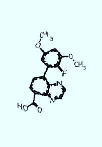 COc1cc(OC)c(F)c(-c2ccc(C(=O)O)c3nccnc23)c1